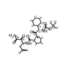 C=C(C)CC(NC(=O)[C@@H]1CCCN1C(=O)[C@@H](NC(=O)OC(C)(C)C)C1CCCCC1)C(=O)C(N)=O